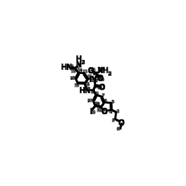 COCCc1cc2cc(C(Nc3ccc(C(=N)N)cc3)C(=O)NS(N)(=O)=O)cc(I)c2o1